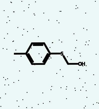 Cc1ccc(SCO)cc1